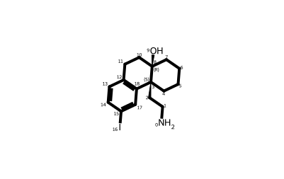 NCC[C@]12CCCC[C@@]1(O)CCc1ccc(I)cc12